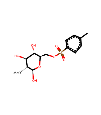 CO[C@@H]1[C@@H](O)[C@H](O)[C@@H](COS(=O)(=O)c2ccc(C)cc2)O[C@H]1O